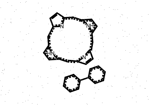 C1=Cc2cc3ccc(cc4nc(cc5ccc(cc1n2)[nH]5)C=C4)[nH]3.c1ccc(-c2ccccc2)cc1